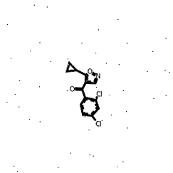 O=C(c1ccc(Cl)cc1Cl)c1cnoc1C1CC1